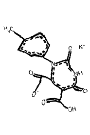 Cc1ccc(-n2c(C(=O)[O-])c(C(=O)O)c(=O)[nH]c2=O)cc1.[K+]